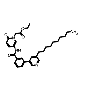 CCOC(=O)Cn1cc(NC(=O)c2cccc(-c3cncc(CCCCCCCCCN)c3)c2)ccc1=O